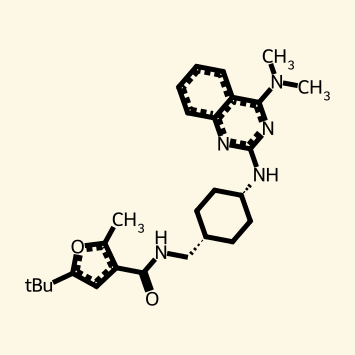 Cc1oc(C(C)(C)C)cc1C(=O)NC[C@H]1CC[C@@H](Nc2nc(N(C)C)c3ccccc3n2)CC1